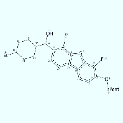 CCCCCOc1ccc2c(sc3c(F)c(C(O)C4CCC(CC)CC4)ccc32)c1F